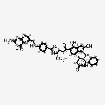 Cc1c(C(=O)CC[C@H](NC(=O)c2ccc(NCc3cnc4nc(N)[nH]c(=O)c4n3)cc2)C(=O)O)ccc2c1cc(C#N)n2C[C@@H]1CCC(=O)N[C@H]1c1ccccc1